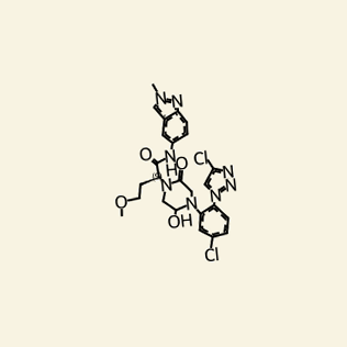 COCC[C@@H](C(=O)Nc1ccc2nn(C)cc2c1)N1CC(O)N(c2cc(Cl)ccc2-n2cc(Cl)nn2)CC1=O